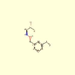 CCc1cccc(CO/N=[C]\C(C)C)c1